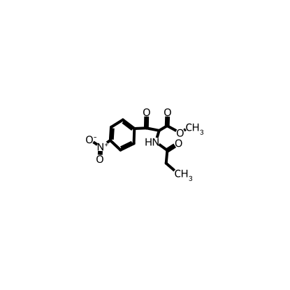 CCC(=O)NC(C(=O)OC)C(=O)c1ccc([N+](=O)[O-])cc1